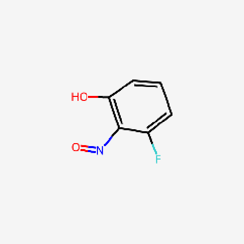 O=Nc1c(O)cccc1F